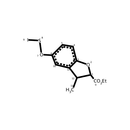 CCOC(=O)C1Oc2ccc(OSI)cc2C1C